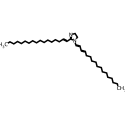 CCCCCCCCCCCCCC=CC=CN1CCN=C1C=CCCCCCCCCCCCCCCC